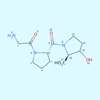 NCC(=O)N1CCC[C@H]1C(=O)N1CCC(O)[C@H]1C(=O)O